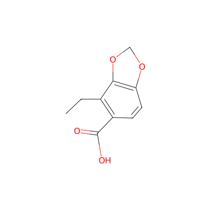 CCc1c(C(=O)O)ccc2c1OCO2